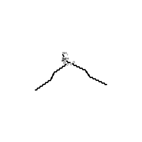 CCCCCCCCCCCCC#CC#CCCCCCCCCC(=O)OCC(COP(=O)(O)OCCN)OC(=O)CCCCCCCCC#CC#CCCCCCCCCCCCC